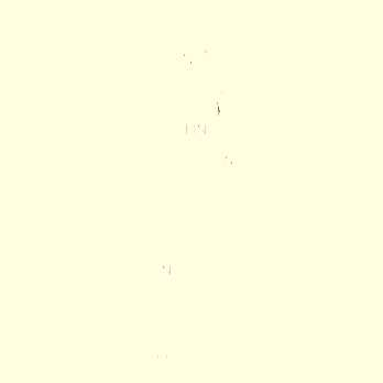 C[C@@H]1CC[C@@H](C(=O)Nc2cc(-c3cccc(NCC4CCOCC4)c3)ccn2)CN1